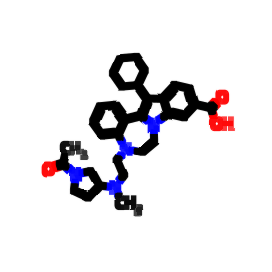 CC(=O)N1CCC(N(C)CCN2CCn3c(c(C4CCCCC4)c4ccc(C(=O)O)cc43)-c3ccccc32)C1